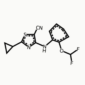 N#Cc1sc(C2CC2)nc1Nc1ccccc1OC(F)F